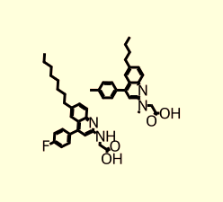 CCCCCCCCc1ccc2nc(NCC(=O)O)cc(-c3ccc(F)cc3)c2c1.CCCCc1ccc2nc(N(C)CC(=O)O)cc(-c3ccc(C)cc3)c2c1